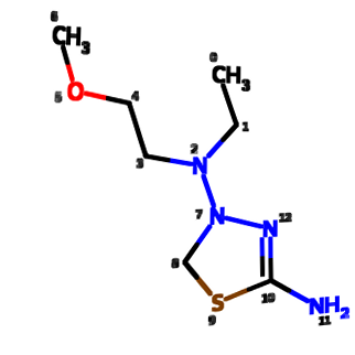 CCN(CCOC)N1CSC(N)=N1